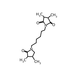 CC1CN(CCCCCCN2C(=O)C(C)C(C)C2=O)C(=O)C1C